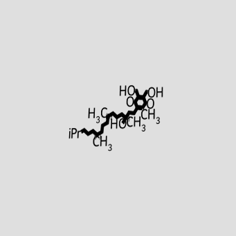 CC1=C(CC[C@](C)(O)CCC[C@H](C)CCC[C@H](C)CCCC(C)C)C(=O)C(CO)=C(CO)C1=O